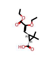 CCOC(=O)C(=C[C@@H]1[C@@H](C(=O)O)C1(C)C)OCC